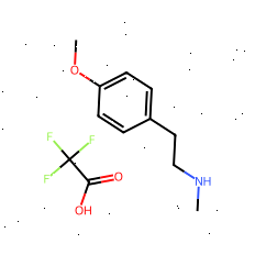 CNCCc1ccc(OC)cc1.O=C(O)C(F)(F)F